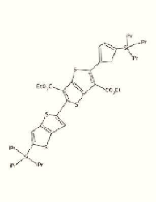 CCOC(=O)c1c(C2=CC=C([Si](C(C)C)(C(C)C)C(C)C)C2)sc2c(C(=O)OCC)c(-c3cc4sc([Si](C(C)C)(C(C)C)C(C)C)cc4s3)sc12